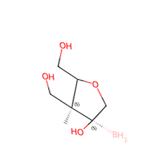 B[C@@]1(O)COC(CO)[C@]1(C)CO